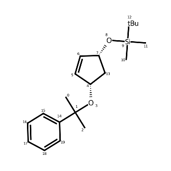 CC(C)(O[C@@H]1C=C[C@H](O[Si](C)(C)C(C)(C)C)C1)c1ccccc1